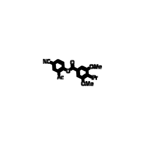 COc1cc(C(=O)Oc2ccc(C#N)cc2C(C)=O)cc(OC)c1C(C)C